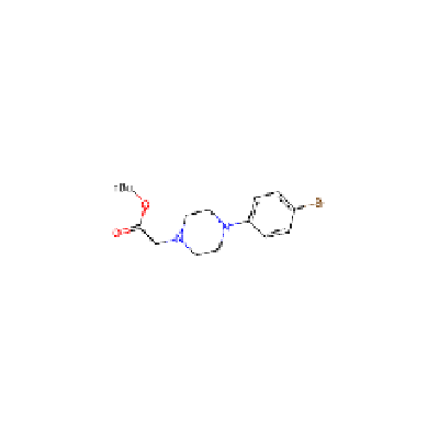 CCCCOC(=O)CN1CCN(c2ccc(Br)cc2)CC1